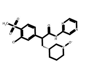 CS(=O)(=O)c1ccc(C(C[C@H]2CCC[S+]([O-])C2)C(=O)Nc2cnccn2)cc1Cl